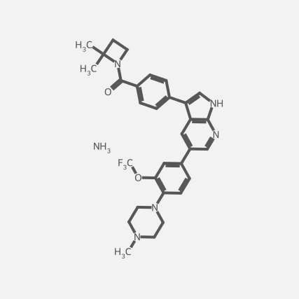 CN1CCN(c2ccc(-c3cnc4[nH]cc(-c5ccc(C(=O)N6CCC6(C)C)cc5)c4c3)cc2OC(F)(F)F)CC1.N